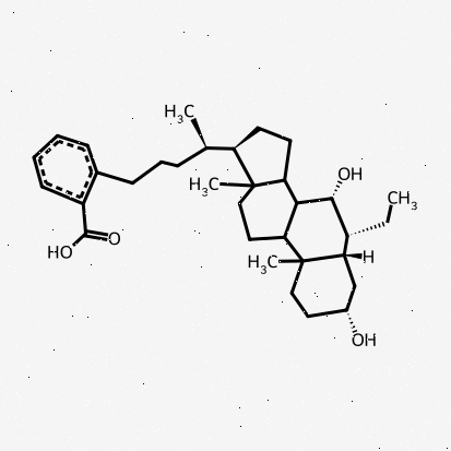 CC[C@H]1[C@@H](O)C2C3CC[C@H]([C@H](C)CCCc4ccccc4C(=O)O)C3(C)CCC2C2(C)CC[C@@H](O)C[C@@H]12